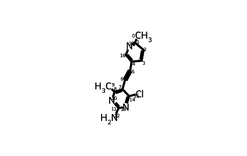 Cc1ccc(C#Cc2c(C)nc(N)nc2Cl)cn1